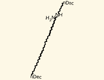 CCCCCCCCCCCCCCCCCCCCCCCCCCCCCCCCCCCCCCCCCCCCCCCCC(N)CNCCCCCCCCCCCCCCCCCC